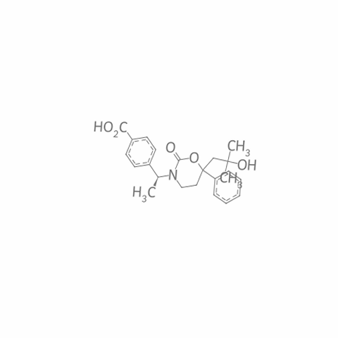 C[C@@H](c1ccc(C(=O)O)cc1)N1CCC(CC(C)(C)O)(c2ccccc2)OC1=O